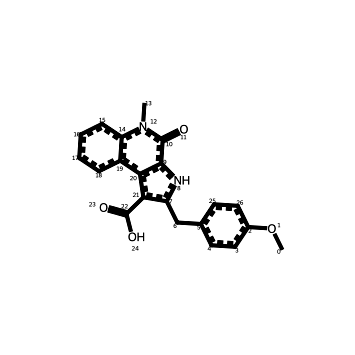 COc1ccc(Cc2[nH]c3c(=O)n(C)c4ccccc4c3c2C(=O)O)cc1